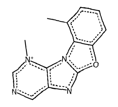 Cc1cccc2oc3nc4cnc[n+](C)c4n3c12